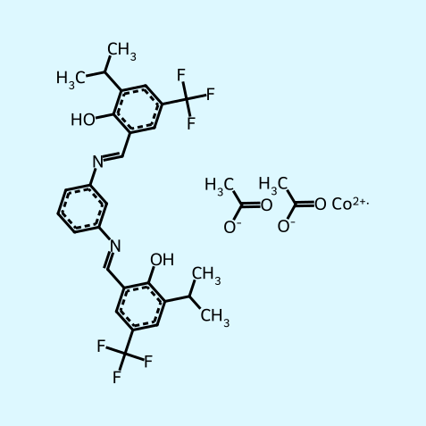 CC(=O)[O-].CC(=O)[O-].CC(C)c1cc(C(F)(F)F)cc(C=Nc2cccc(N=Cc3cc(C(F)(F)F)cc(C(C)C)c3O)c2)c1O.[Co+2]